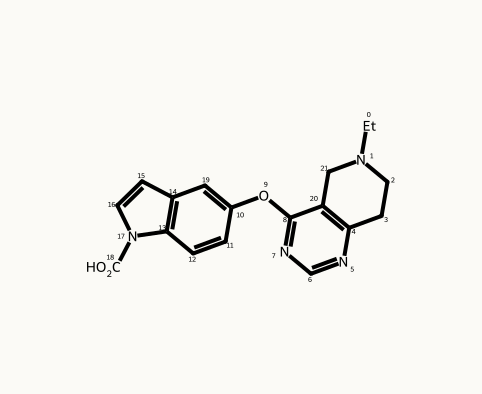 CCN1CCc2ncnc(Oc3ccc4c(ccn4C(=O)O)c3)c2C1